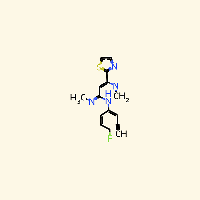 C#C/C=C(\C=C/CF)NC(/C=C(\N=C)c1nccs1)=N/C